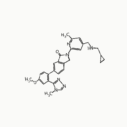 COc1ccc(-c2ccc3c(c2)C(=O)N(c2cc(CNCC4CC4)cc(C)n2)C3)c(-c2nncn2C)c1